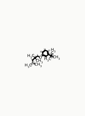 CN(C)CC(C)(C)COc1cccc(C(C)(C)C)c1